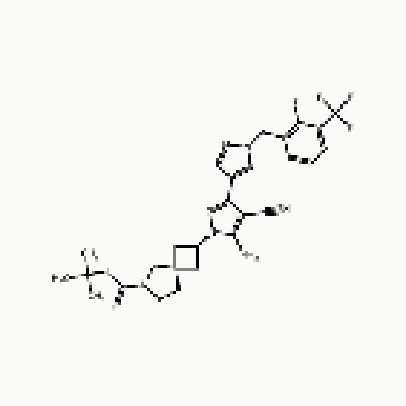 CC(C)(C)OC(=O)N1CC[C@]2(C1)C[C@H](n1nc(-c3cnn(Cc4cccc(C(F)(F)F)c4Br)c3)c(C#N)c1N)C2